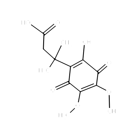 COC1=C(OC)C(=O)C(C(C)(C)CC(=O)O)=C(C)C1=O